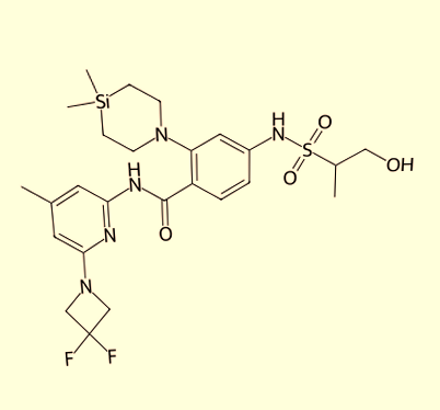 Cc1cc(NC(=O)c2ccc(NS(=O)(=O)C(C)CO)cc2N2CC[Si](C)(C)CC2)nc(N2CC(F)(F)C2)c1